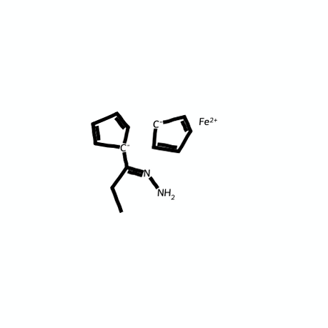 CCC(=NN)[c-]1cccc1.[Fe+2].c1cc[cH-]c1